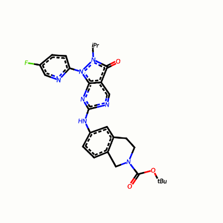 CC(C)n1c(=O)c2cnc(Nc3ccc4c(c3)CCN(C(=O)OC(C)(C)C)C4)nc2n1-c1ccc(F)cn1